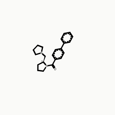 O=C(c1ccc(-c2ccccc2)cc1)N1CCC[C@H]1CN1CCCC1